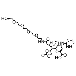 C#CCOCCOCCOCCOCCNC(=O)CO[C@@H]([C@@H]1OC(C(=O)O)=C[C@H](NC(=N)N)[C@H]1C)[C@H]1COC(=O)O1